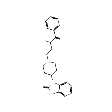 O=C(c1ccccc1)C(F)CCN1CCC(n2c(=O)[nH]c3ccccc32)CC1